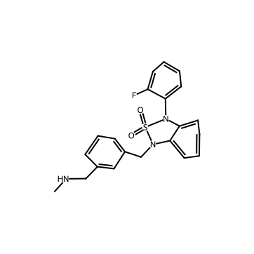 CNCc1cccc(CN2c3ccccc3N(c3ccccc3F)S2(=O)=O)c1